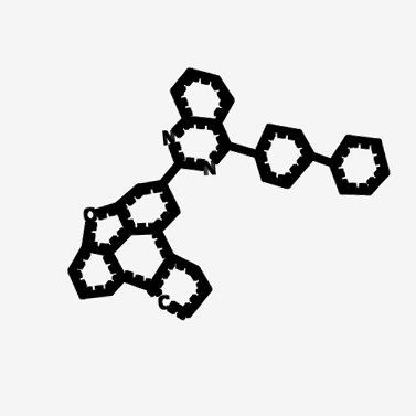 c1ccc(-c2ccc(-c3nc(-c4cc5oc6cccc7c8ccccc8c(c4)c5c67)nc4ccccc34)cc2)cc1